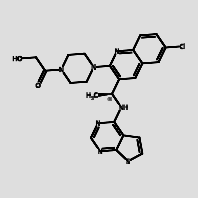 C[C@H](Nc1ncnc2sccc12)c1cc2cc(Cl)ccc2nc1N1CCN(C(=O)CO)CC1